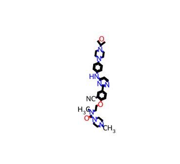 CN1CCN(C(=O)N(C)CCOc2ccc(-c3nccc(Nc4ccc(N5CCN(C6COC6)CC5)cc4)n3)cc2C#N)CC1